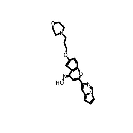 ON=c1cc(-c2cc3cccn3cn2)oc2ccc(OCCCN3CCOCC3)cc12